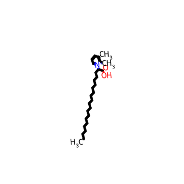 CCCCCCCCCCCCCCCCCCCC(C(=O)O)[n+]1cccc(C)c1C